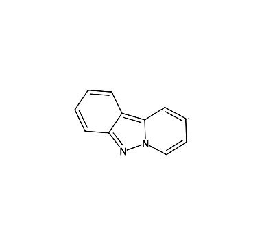 [c]1ccn2nc3ccccc3c2c1